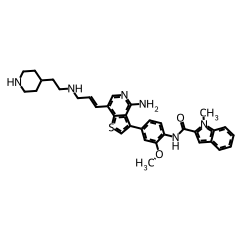 COc1cc(-c2csc3c(/C=C/CNCCC4CCNCC4)cnc(N)c23)ccc1NC(=O)c1cc2ccccc2n1C